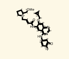 COCC1CCCN1C/C=C/C(=O)Nc1cc2c(Nc3ccc(F)c(Cl)c3)ncnc2cc1OCC1CC1